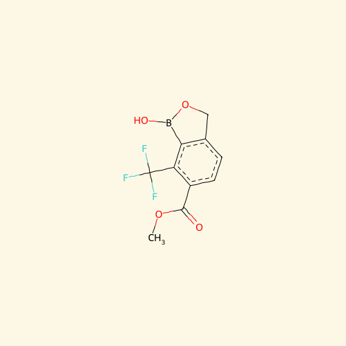 COC(=O)c1ccc2c(c1C(F)(F)F)B(O)OC2